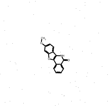 COc1ccc2c(c1)oc1c3ccccc3c(=O)[nH]c21